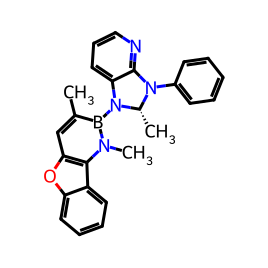 CC1=Cc2oc3ccccc3c2N(C)B1N1c2cccnc2N(c2ccccc2)[C@@H]1C